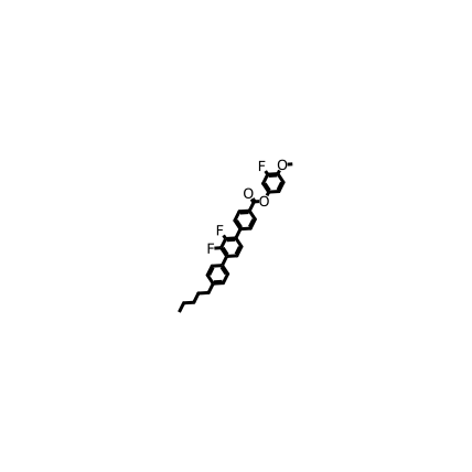 CCCCCc1ccc(-c2ccc(-c3ccc(C(=O)Oc4ccc(OC)c(F)c4)cc3)c(F)c2F)cc1